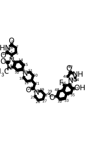 Cn1c(=O)n(C2CCC(=O)NC2=O)c2ccc(N3CCC(CC(=O)N4CCC[C@@H](COc5ccc6cc(O)c(N7CC(=O)NS7)c(F)c6c5)C4)CC3)cc21